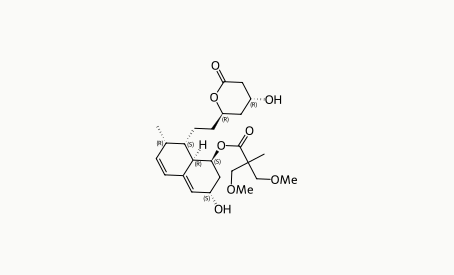 COCC(C)(COC)C(=O)O[C@H]1C[C@H](O)C=C2C=C[C@H](C)[C@H](CC[C@@H]3C[C@@H](O)CC(=O)O3)[C@H]21